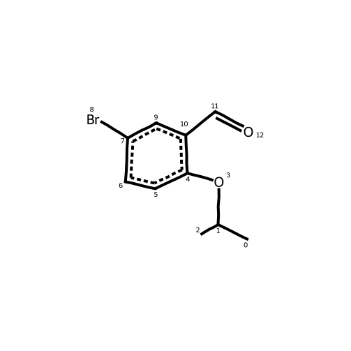 CC(C)Oc1ccc(Br)cc1C=O